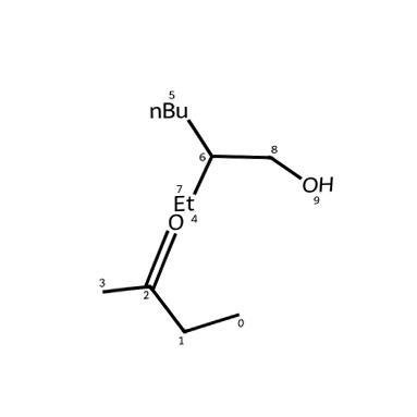 CCC(C)=O.CCCCC(CC)CO